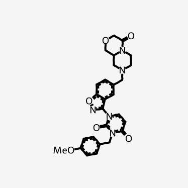 COc1ccc(Cn2c(=O)ccn(-c3noc4ccc(CN5CCN6C(=O)COCC6C5)cc34)c2=O)cc1